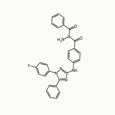 NN(C(=O)c1ccccc1)C(=O)c1ccc(Nc2nc(-c3ccccc3)n(-c3ccc(F)cc3)n2)cc1